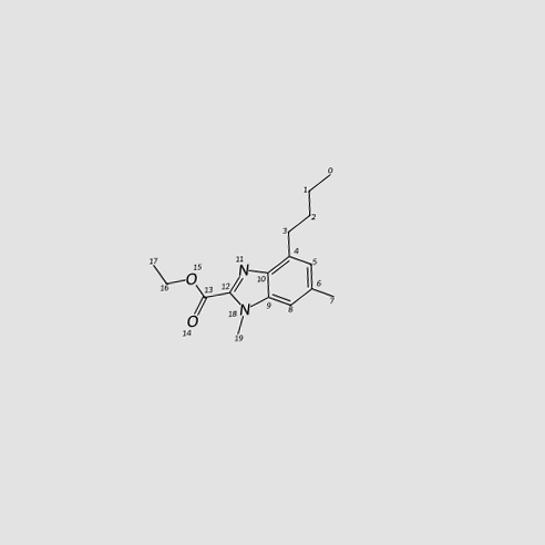 CCCCc1cc(C)cc2c1nc(C(=O)OCC)n2C